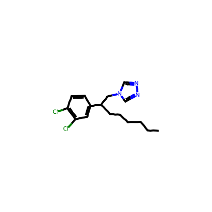 CCCCCCC(Cn1cnnc1)c1ccc(Cl)c(Cl)c1